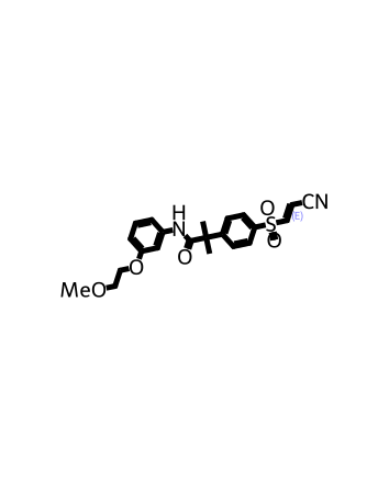 COCCOc1cccc(NC(=O)C(C)(C)c2ccc(S(=O)(=O)/C=C/C#N)cc2)c1